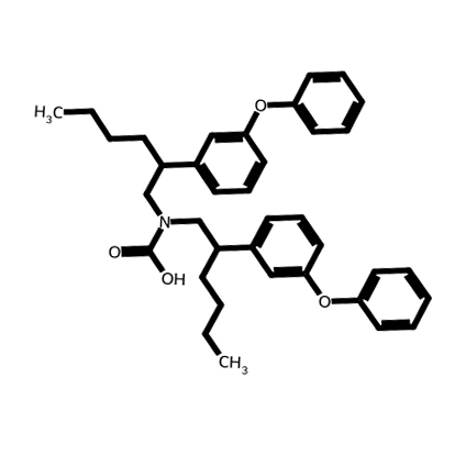 CCCCC(CN(CC(CCCC)c1cccc(Oc2ccccc2)c1)C(=O)O)c1cccc(Oc2ccccc2)c1